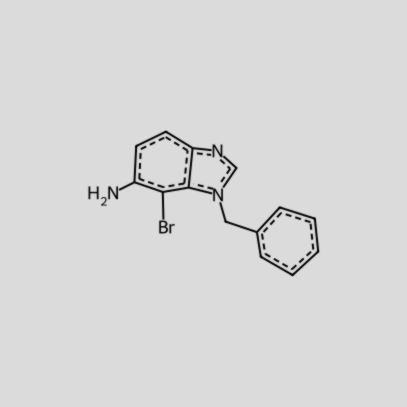 Nc1ccc2ncn(Cc3ccccc3)c2c1Br